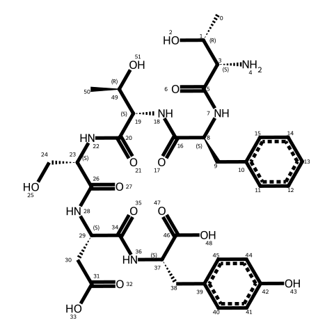 C[C@@H](O)[C@H](N)C(=O)N[C@@H](Cc1ccccc1)C(=O)N[C@H](C(=O)N[C@@H](CO)C(=O)N[C@@H](CC(=O)O)C(=O)N[C@@H](Cc1ccc(O)cc1)C(=O)O)[C@@H](C)O